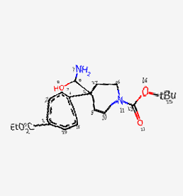 CCOC(=O)c1ccc(C2(C(N)O)CCN(C(=O)OC(C)(C)C)CC2)cc1